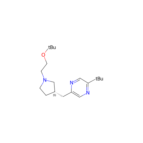 CC(C)(C)OCCN1CC[C@@H](Cc2cnc(C(C)(C)C)cn2)C1